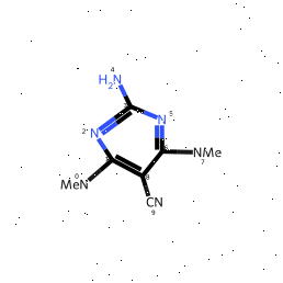 CNc1nc(N)nc(NC)c1C#N